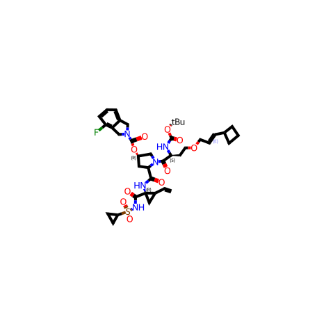 C=CC1C[C@]1(NC(=O)C1C[C@@H](OC(=O)N2Cc3cccc(F)c3C2)CN1C(=O)[C@H](CCOC/C=C/C1CCC1)NC(=O)OC(C)(C)C)C(=O)NS(=O)(=O)C1CC1